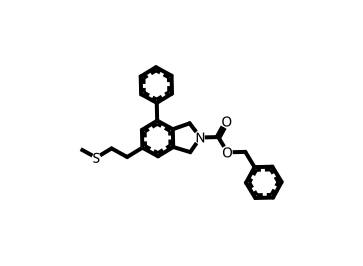 CSCCc1cc2c(c(-c3ccccc3)c1)CN(C(=O)OCc1ccccc1)C2